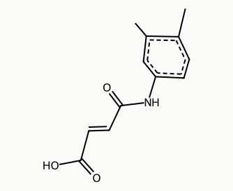 Cc1ccc(NC(=O)C=CC(=O)O)cc1C